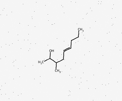 CCCC=CCC(C)C(C)O